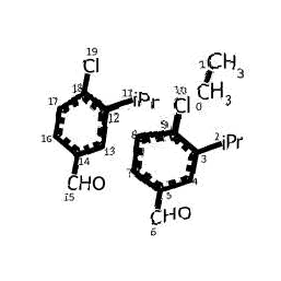 CC.CC(C)c1cc(C=O)ccc1Cl.CC(C)c1cc(C=O)ccc1Cl